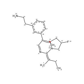 C\C=C(/C=N\C(=C(/C)CC)N1CCC(F)C1)c1cccc(CCN)c1